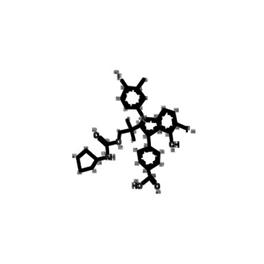 Cc1cc(-n2c(C(C)(C)COC(=O)NC3CCCC3)c(-c3ccc(C(=O)O)cc3)c3c(O)c(F)ccc32)ccc1F